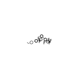 CC[C@H]1CC[C@H](c2ccc(C(F)(F)Oc3ccccc3-c3ccc(OC(F)(F)F)c(F)c3)cc2)CC1